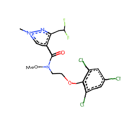 CON(CCOc1c(Cl)cc(Cl)cc1Cl)C(=O)c1cn(C)nc1C(F)F